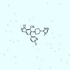 Cn1cnnc1C1CCN(c2c(-c3ccc(F)nc3)cc3cn[nH]c3c2C#N)CC1